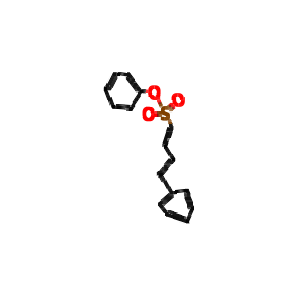 O=S(=O)(C=CC=Cc1ccccc1)Oc1ccccc1